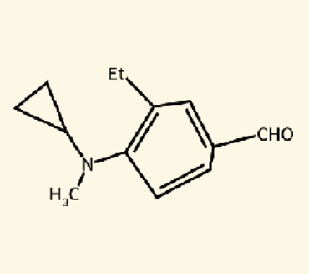 CCc1cc(C=O)ccc1N(C)C1CC1